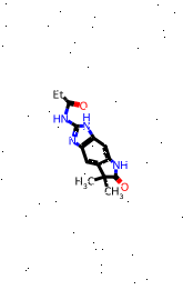 CCC(=O)Nc1nc2cc3c(cc2[nH]1)NC(=O)C3(C)C